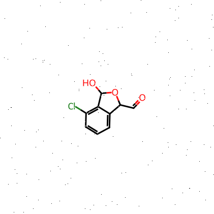 O=CC1OC(O)c2c(Cl)cccc21